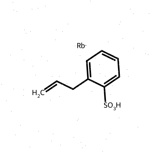 C=CCc1ccccc1S(=O)(=O)O.[Rb]